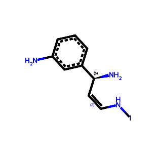 Nc1cccc([C@@H](N)/C=C\NI)c1